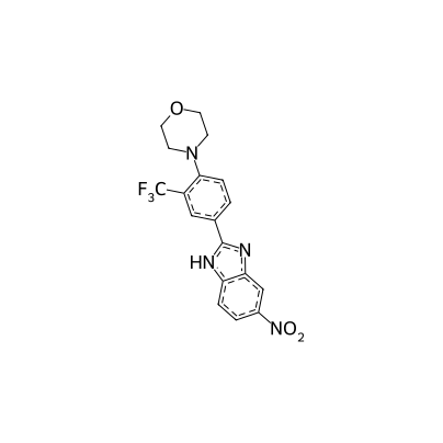 O=[N+]([O-])c1ccc2[nH]c(-c3ccc(N4CCOCC4)c(C(F)(F)F)c3)nc2c1